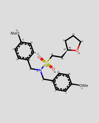 COc1ccc(CN(Cc2ccc(OC)cc2)S(=O)(=O)CC[C@H]2CCCO2)cc1